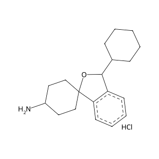 Cl.NC1CCC2(CC1)OC(C1CCCCC1)c1ccccc12